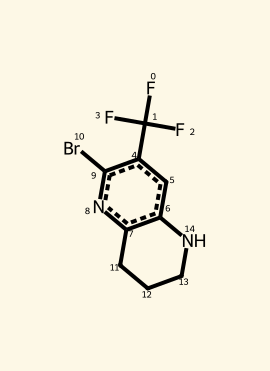 FC(F)(F)c1cc2c(nc1Br)CCCN2